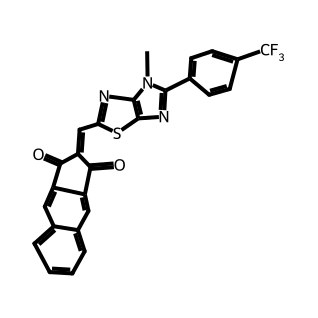 Cn1c(-c2ccc(C(F)(F)F)cc2)nc2sc(C=C3C(=O)c4cc5ccccc5cc4C3=O)nc21